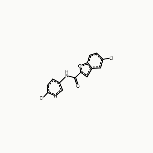 O=C(Nc1ccc(Cl)nc1)c1cc2cc(Cl)ccc2o1